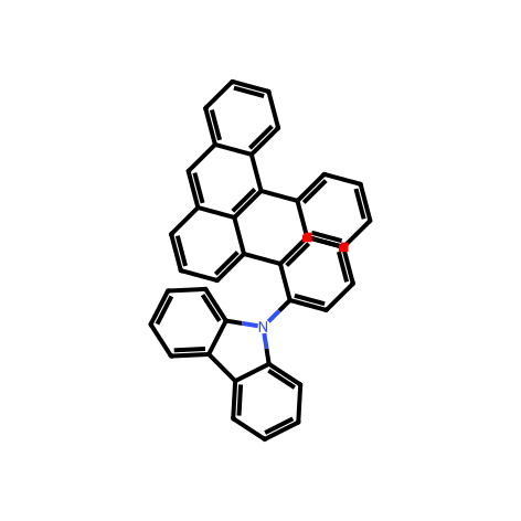 c1ccc(-c2c3ccccc3cc3cccc(-c4ccccc4-n4c5ccccc5c5ccccc54)c23)cc1